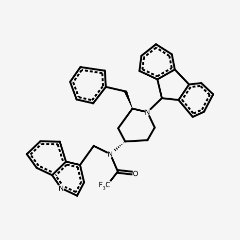 O=C(N(Cc1ccnc2ccccc12)[C@H]1CCN(C2c3ccccc3-c3ccccc32)[C@H](Cc2ccccc2)C1)C(F)(F)F